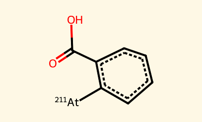 O=C(O)c1ccccc1[211At]